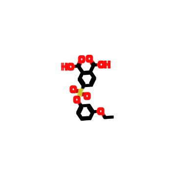 CCOc1cccc(OS(=O)(=O)c2ccc(C(=O)O)c(C(=O)O)c2)c1